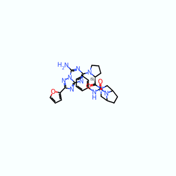 Nc1nc(N2CCC[C@H]2C(=O)N2CC3CCC(C2)N3C(=O)Nc2ccccc2)nc2nc(-c3ccco3)nn12